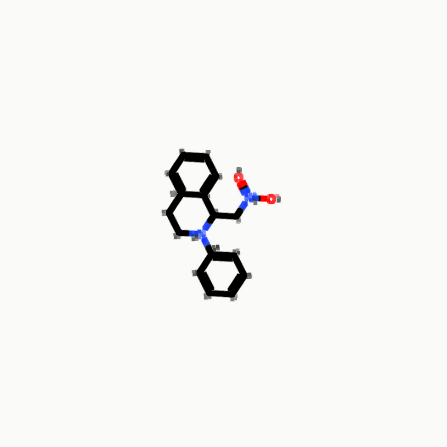 O=[N+]([O-])CC1c2ccccc2CCN1c1ccccc1